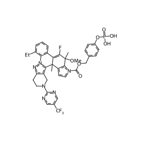 CCc1cccc2c1-n1nc3c(c1C1(C)C2=C(F)C(C)(OC)c2c1ccn2C(=O)OCc1ccc(OP(=O)(O)O)cc1)CN(c1ncc(C(F)(F)F)cn1)CC3